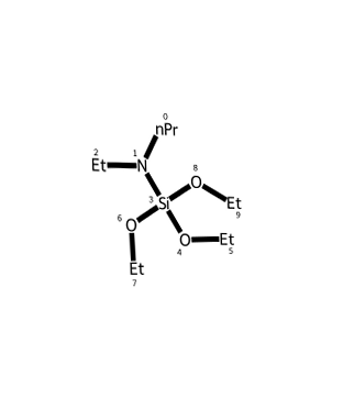 CCCN(CC)[Si](OCC)(OCC)OCC